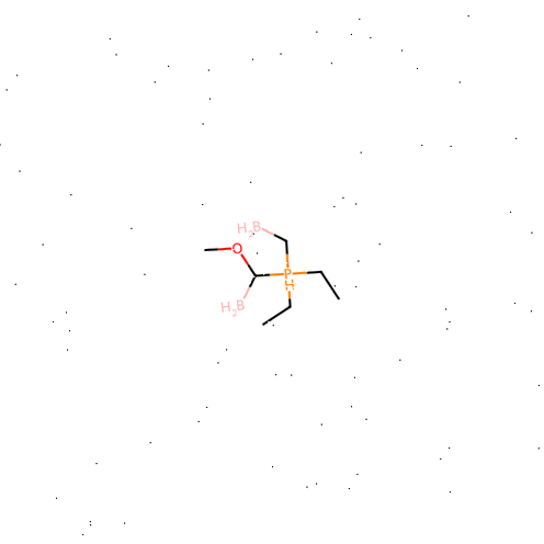 BC[PH](CC)(CC)C(B)OC